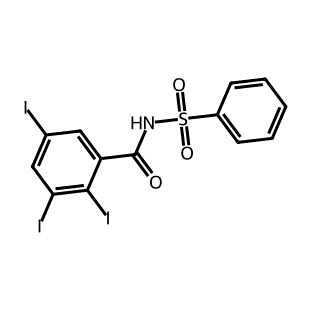 O=C(NS(=O)(=O)c1ccccc1)c1cc(I)cc(I)c1I